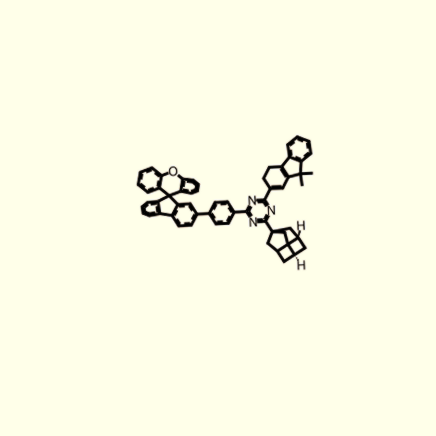 CC1(C)C2=C(CCC(c3nc(-c4ccc(-c5ccc6c(c5)C5(c7ccccc7Oc7ccccc75)c5ccccc5-6)cc4)nc(C45CC6C[C@@H]7C[C@@H](C4)C67C5)n3)=C2)c2ccccc21